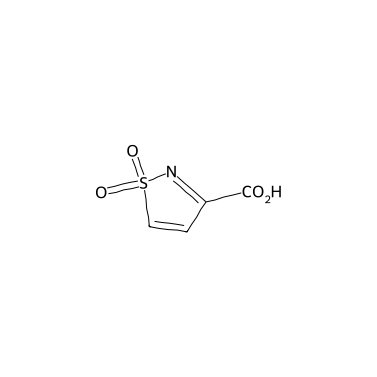 O=C(O)C1=NS(=O)(=O)C=C1